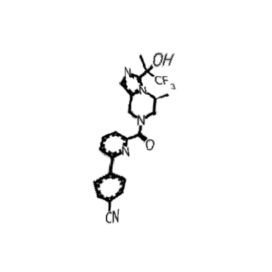 C[C@H]1CN(C(=O)c2cccc(-c3ccc(C#N)cc3)n2)Cc2cnc(C(C)(O)C(F)(F)F)n21